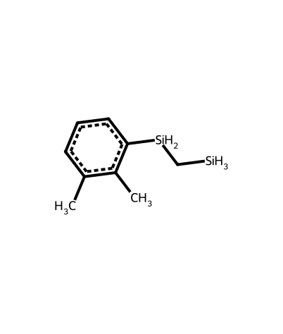 Cc1cccc([SiH2]C[SiH3])c1C